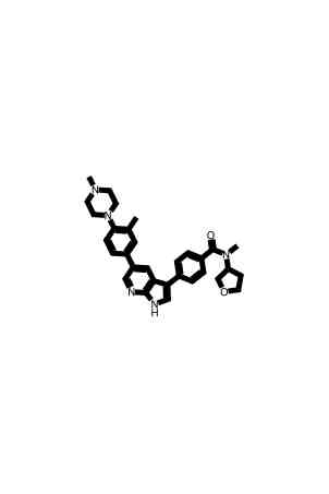 Cc1cc(-c2cnc3[nH]cc(-c4ccc(C(=O)N(C)C5CCOC5)cc4)c3c2)ccc1N1CCN(C)CC1